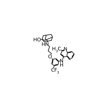 Cc1cc(Nc2cc(OCCCNC34CC5CC(CC(O)(C5)C3)C4)cc(C(F)(F)F)c2)c2ccccc2n1